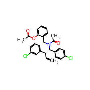 C=C[C@H](c1cccc(Cl)c1)C(c1ccc(Cl)cc1)N(Cc1ccccc1OC(C)=O)C(C)=O